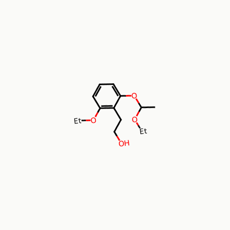 CCOc1cccc(OC(C)OCC)c1CCO